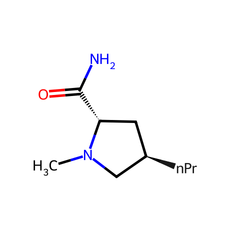 CCC[C@@H]1C[C@@H](C(N)=O)N(C)C1